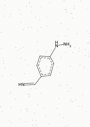 N=Cc1ccc(NN)cc1